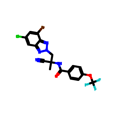 CC(C#N)(Cn1nc2cc(Cl)cc(Br)c2n1)NC(=O)c1ccc(OC(F)(F)F)cc1